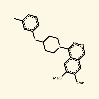 COc1cc2cnnc(N3CCC(Oc4cccc(C)c4)CC3)c2cc1OC